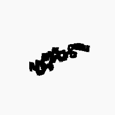 CC(c1ccc(F)cc1Br)n1nnc2c1CCN(C(=O)OC(C)(C)C)C2